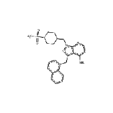 CS(=O)(=O)N1CCC(Cn2nc(Cc3cccc4ccccc34)c3c(N)ncnc32)CC1